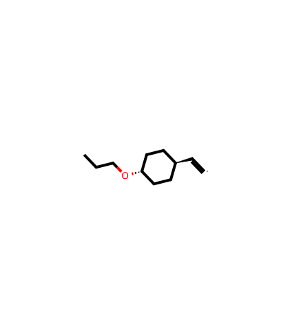 [CH]=C[C@H]1CC[C@H](OCCC)CC1